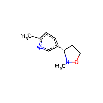 Cc1ccc([C@@H]2CCON2C)cn1